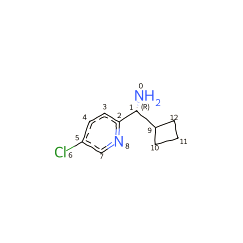 N[C@@H](c1ccc(Cl)cn1)C1CCC1